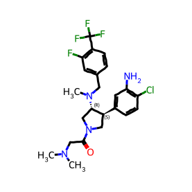 CN(C)CC(=O)N1C[C@H](c2ccc(Cl)c(N)c2)[C@@H](N(C)Cc2ccc(C(F)(F)F)c(F)c2)C1